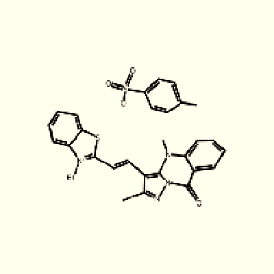 CC[n+]1c(C=Cc2c(C)nn3c(=O)c4ccccc4n(C)c23)sc2ccccc21.Cc1ccc(S(=O)(=O)[O-])cc1